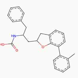 Cc1ccccc1-c1cccc2c1OC(CC(Cc1ccccc1)NC(=O)O)C2